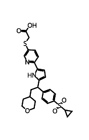 O=C(O)CSc1ccc(-c2ccc(C(CC3CCOCC3)c3ccc(S(=O)(=O)C4CC4)cc3)[nH]2)nc1